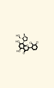 CN1CC[C@@H](c2c(O)cc(O)c3c(=O)cc(-c4cccc(Cl)c4Cl)oc23)[C@@H]1CO